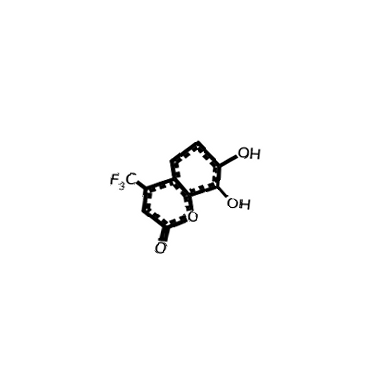 O=c1cc(C(F)(F)F)c2ccc(O)c(O)c2o1